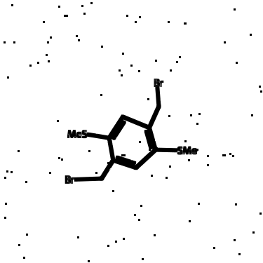 CSc1cc(CBr)c(SC)cc1CBr